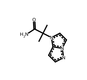 CC(C)(C(N)=O)n1ccn2nccc12